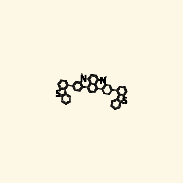 CN1C2=C(CCC(c3cccc4sc5ccccc5c34)=C2)c2ccc3c4c(ccc1c24)N(C)c1cc(-c2cccc4sc5ccccc5c24)ccc1-3